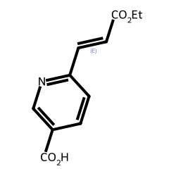 CCOC(=O)/C=C/c1ccc(C(=O)O)cn1